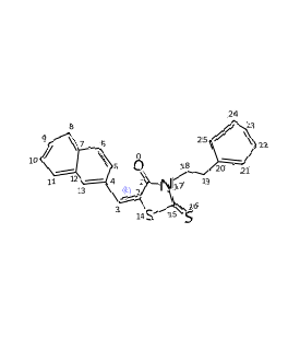 O=C1/C(=C\c2ccc3ccccc3c2)SC(=S)N1CCc1ccccc1